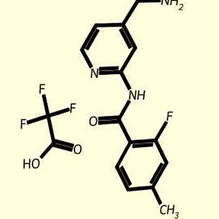 Cc1ccc(C(=O)Nc2cc(CN)ccn2)c(F)c1.O=C(O)C(F)(F)F